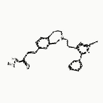 Cn1cc(CCN2CCc3ccc(/C=C/C(=O)NO)cc3C2)c(-c2ccccc2)n1